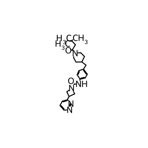 CC(C)(C)CC(=O)N1CCC(Cc2ccc(NC(=O)N3CC(c4cccnn4)C3)cc2)CC1